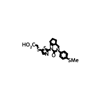 CSc1ccc(N(CC2CCCC2)C(=O)Nc2ncc(SCC(=O)O)s2)cc1